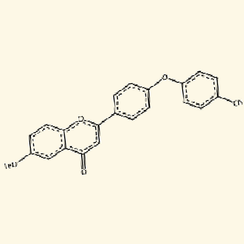 COc1ccc2oc(-c3ccc(Oc4ccc(C#N)cc4)cc3)cc(=O)c2c1